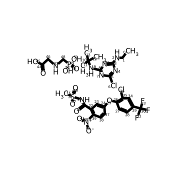 CCNc1nc(Cl)nc(NC(C)(C)C)n1.CS(=O)(=O)NC(=O)c1cc(Oc2ccc(C(F)(F)F)cc2Cl)ccc1[N+](=O)[O-].O=C(O)CNCP(=O)(O)O